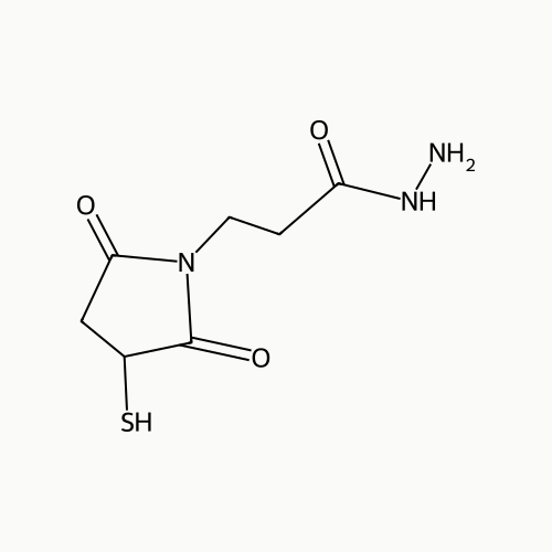 NNC(=O)CCN1C(=O)CC(S)C1=O